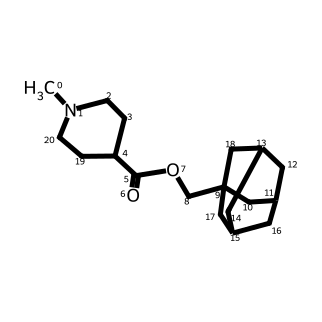 CN1CCC(C(=O)OCC23CC4CC(CC(C4)C2)C3)CC1